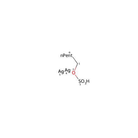 CCCCCCOS(=O)(=O)O.[Ag].[Ag]